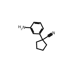 N#CC1(c2cccc(N)c2)CCCC1